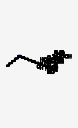 CCCCCCCC/C=C\CCCCCCCCCCC(=O)NCCCC(=O)NC1C[C@H](O[C@H]2C[C@](O)(C(=O)CO)Cc3c(C)c4c(c(O)c32)C(=O)c2c(CO)cccc2C4=O)OC(C)C1O